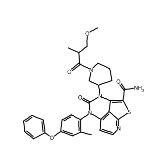 COCC(C)C(=O)N1CCCC(N2C(=O)N(c3ccc(Oc4ccccc4)cc3C)c3ccnc4sc(C(N)=O)c2c34)C1